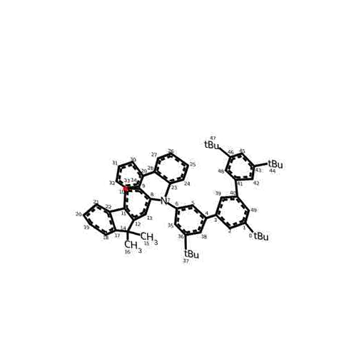 CC(C)(C)c1cc(-c2cc(N(c3ccc4c(c3)C(C)(C)c3ccccc3-4)c3ccccc3-c3ccccc3)cc(C(C)(C)C)c2)cc(-c2cc(C(C)(C)C)cc(C(C)(C)C)c2)c1